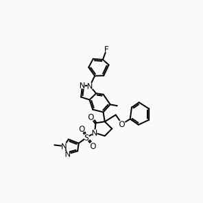 Cc1cc2c(cnn2-c2ccc(F)cc2)cc1C1(COc2ccccc2)CCN(S(=O)(=O)c2cnn(C)c2)C1=O